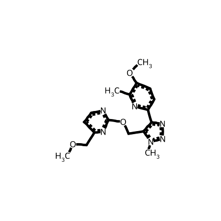 COCc1ccnc(OCc2c(-c3ccc(OC)c(C)n3)nnn2C)n1